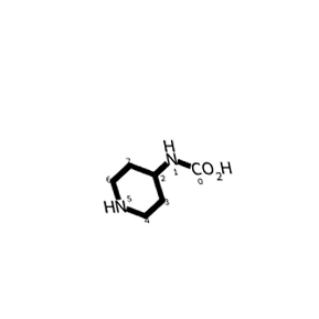 O=C(O)NC1CCNCC1